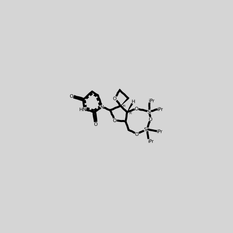 CC(C)[Si]1(C(C)C)OCC2OC(n3ccc(=O)[nH]c3=O)[C@@]3(CCO3)[C@@H]2O[Si](C(C)C)(C(C)C)O1